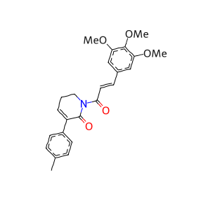 COc1cc(C=CC(=O)N2CCC=C(c3ccc(C)cc3)C2=O)cc(OC)c1OC